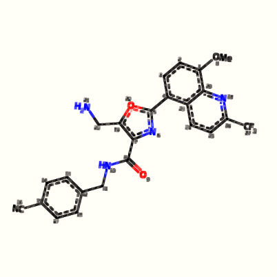 COc1ccc(-c2nc(C(=O)NCc3ccc(C#N)cc3)c(CN)o2)c2ccc(C(F)(F)F)nc12